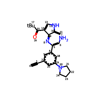 C#Cc1cc(C(=C/N)/N=C2\C(=C)NC=C2C(=O)C(C)(C)C)cc(N2CCCC2)c1